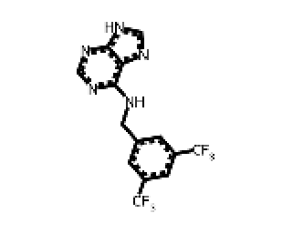 FC(F)(F)c1cc(CNc2ncnc3[nH]cnc23)cc(C(F)(F)F)c1